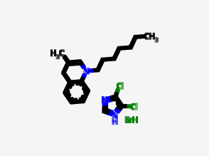 Br.CCCCCCCN1C=C(C)Cc2ccccc21.Clc1nc[nH]c1Cl